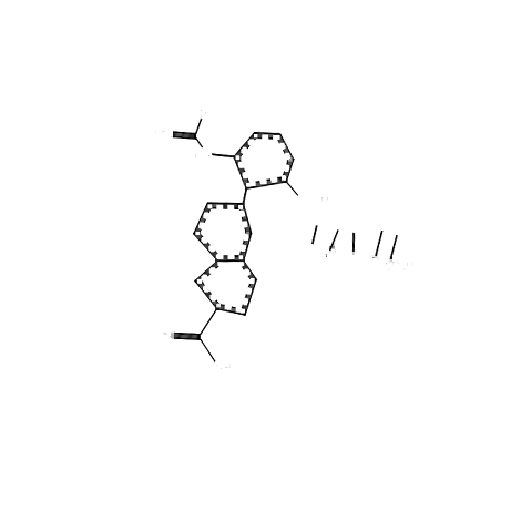 CS(=O)(=O)O.CS(=O)(=O)O.CS(=O)(=O)O.CS(=O)(=O)O.CS(=O)(=O)O.N=C(N)Nc1cccc(C(=O)O)c1-c1ccc2cc(C(=N)N)ccc2c1